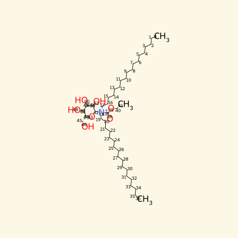 CCCCCCCCCCCCCCCCCC[N+](CCCCCCCCCCCCCCCCCC)(C(=O)OCC)C1O[C@H](CO)[C@@H](O)[C@H](O)[C@H]1O